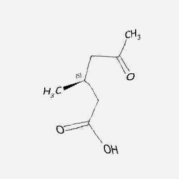 CC(=O)C[C@H](C)CC(=O)O